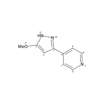 COc1cc(-c2ccncc2)n[nH]1